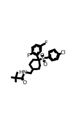 CC(C)(C)C(=O)NCC1CCC(c2cc(F)ccc2F)(S(=O)(=O)c2ccc(Cl)cc2)CC1